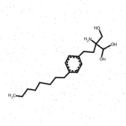 CCCCCCCCc1ccc(CCC(N)(CO)C(O)O)cc1